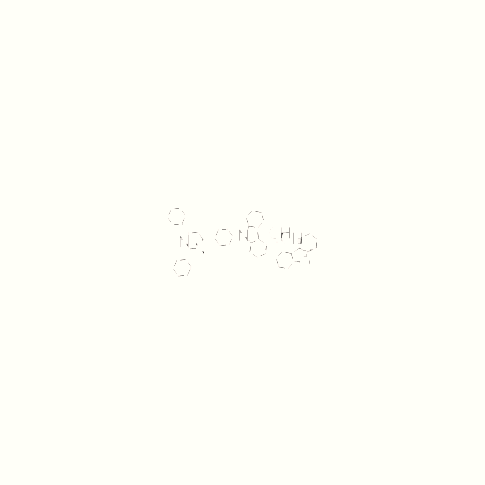 CC1(C)c2c(ccc3oc4ccccc4c23)-c2ccc3c(c21)c1ccccc1n3-c1ccc(-c2cc(-c3ccccc3)nc(-c3ccccc3)n2)cc1